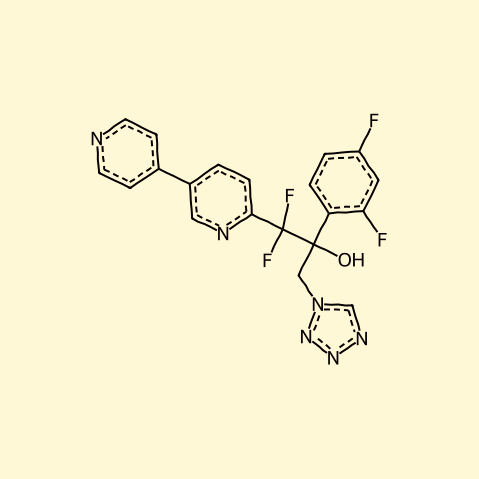 OC(Cn1cnnn1)(c1ccc(F)cc1F)C(F)(F)c1ccc(-c2ccncc2)cn1